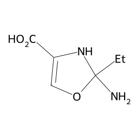 CCC1(N)NC(C(=O)O)=CO1